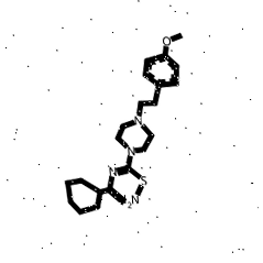 C=C(/N=C(\SN)N1CCN(CCc2ccc(OC)cc2)CC1)C1CCCCC1